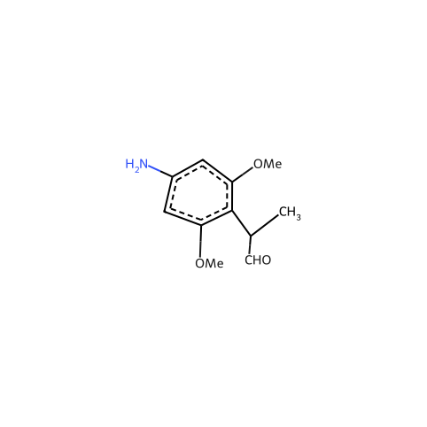 COc1cc(N)cc(OC)c1C(C)C=O